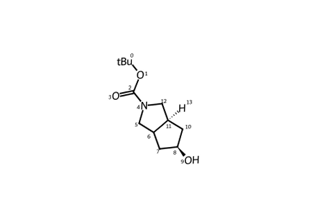 CC(C)(C)OC(=O)N1CC2C[C@H](O)C[C@@H]2C1